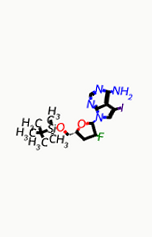 CC(C)(C)[Si](C)(C)OC[C@H]1C[C@H](F)[C@H](n2cc(I)c3c(N)ncnc32)O1